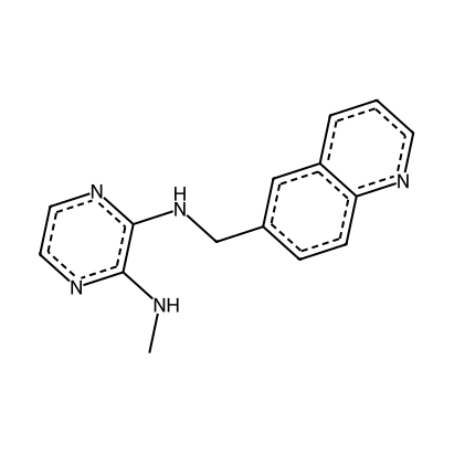 CNc1nccnc1NCc1ccc2ncccc2c1